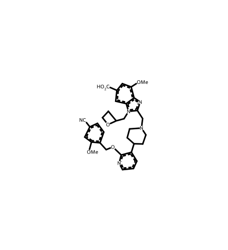 COc1cc(C#N)ccc1COc1ncccc1C1CCN(Cc2nc3c(OC)cc(C(=O)O)cc3n2CC2CCO2)CC1